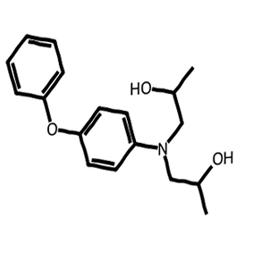 CC(O)CN(CC(C)O)c1ccc(Oc2ccccc2)cc1